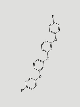 Fc1ccc(Oc2cccc(Oc3cccc(Oc4ccc(F)cc4)c3)c2)cc1